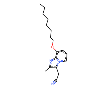 CCCCCCCCOc1cccn2c(CC#N)c(C)nc12